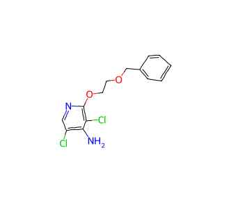 Nc1c(Cl)cnc(OCCOCc2ccccc2)c1Cl